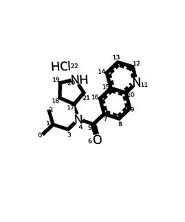 CC(C)CN(C(=O)c1ccc2ncccc2c1)[C@H]1CCNC1.Cl